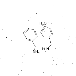 NCc1ccccc1.NCc1ccccc1.O